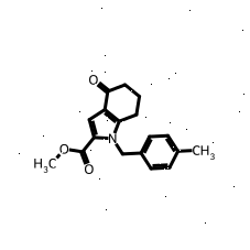 COC(=O)c1cc2c(n1Cc1ccc(C)cc1)CCCC2=O